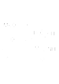 COc1ccc(C2OC(=O)NCC2(C)C)cc1OC1CCCC1